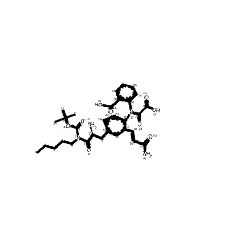 CCCCCN(C(=O)OC(C)(C)C)C(=O)[C@@H](N)Cc1ccc(N(C(=O)C(=O)O)c2ccccc2C(=O)O)c(C=CC(N)=O)c1